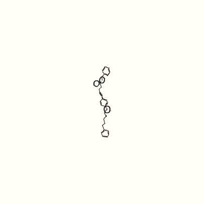 O=C(CCC#Cc1ccc(OCCCCCc2ccccc2)cc1)OCc1ccccc1